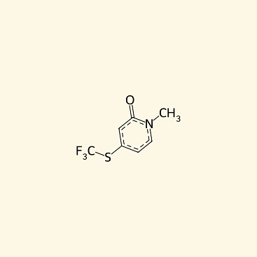 Cn1ccc(SC(F)(F)F)cc1=O